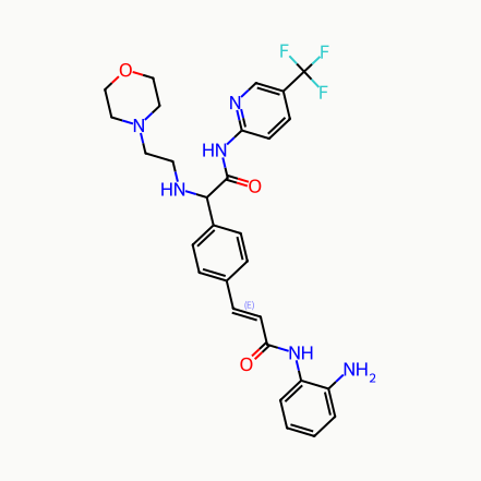 Nc1ccccc1NC(=O)/C=C/c1ccc(C(NCCN2CCOCC2)C(=O)Nc2ccc(C(F)(F)F)cn2)cc1